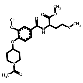 COC(=O)C(CCSC)NC(=O)c1ccc(OC2CCN(C(C)=O)CC2)c(OC)c1